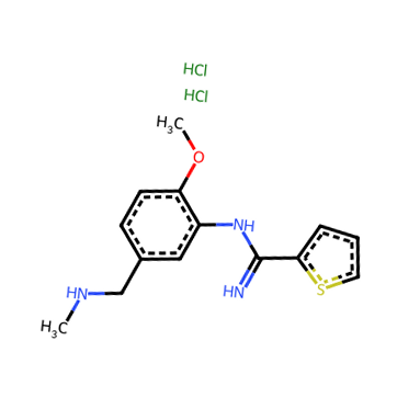 CNCc1ccc(OC)c(NC(=N)c2cccs2)c1.Cl.Cl